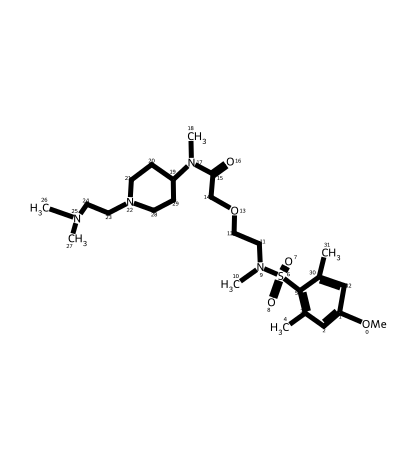 COc1cc(C)c(S(=O)(=O)N(C)CCOCC(=O)N(C)C2CCN(CCN(C)C)CC2)c(C)c1